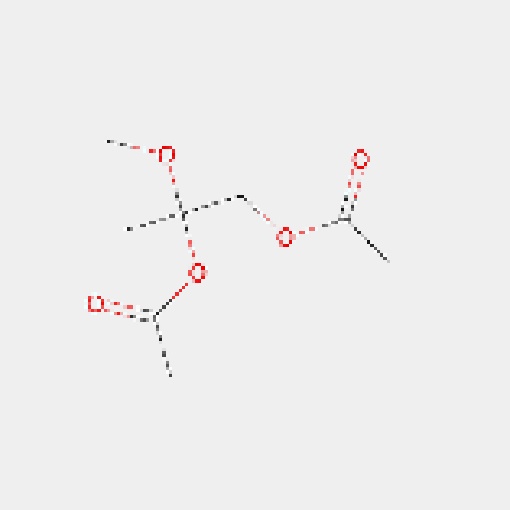 COC(C)(COC(C)=O)OC(C)=O